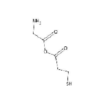 NCC(=O)OC(=O)CCS